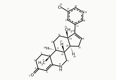 C[C@]12CCC(=O)C=C1NC[C@@H]1[C@@H]2CC[C@]2(C)C(c3cncc(Cl)c3)=CC[C@@H]12